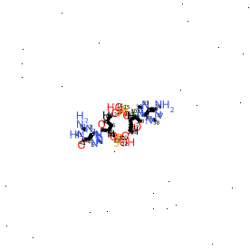 Nc1nc2c(nnn2[C@@H]2O[C@@H]3COP(O)(=S)O[C@@H]4[C@@H](COP(O)(=S)O[C@@H]2C3)OC[C@@]4(F)n2cnc3c(N)ncnc32)c(=O)[nH]1